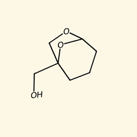 OCC12CCCC(OC1)O2